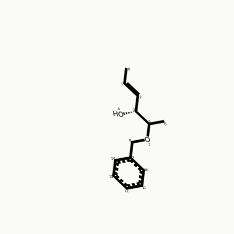 C/C=C/[C@@H](O)C(C)OCc1ccccc1